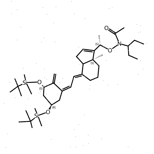 C=C1C(=CC=C2CCC[C@]3(C)C([C@H](C)ON(C(C)=O)C(CC)CC)=CCC23)C[C@@H](O[Si](C)(C)C(C)(C)C)C[C@@H]1O[Si](C)(C)C(C)(C)C